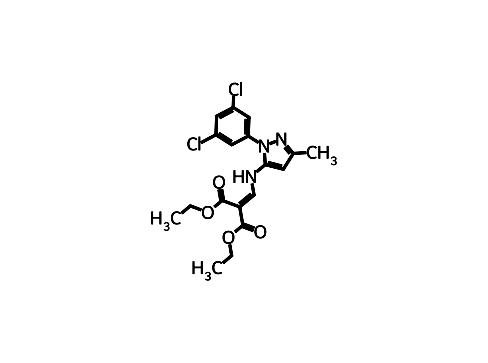 CCOC(=O)C(=CNc1cc(C)nn1-c1cc(Cl)cc(Cl)c1)C(=O)OCC